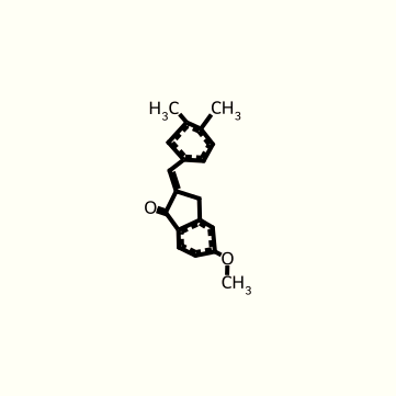 COc1ccc2c(c1)CC(=Cc1ccc(C)c(C)c1)C2=O